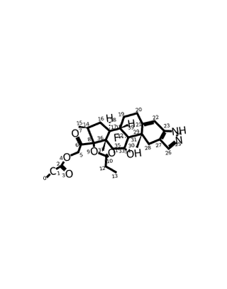 CCC(=O)OCC(=O)C1(OC(=O)CC)[C@@H](C)C[C@H]2[C@@H]3CCC4=Cc5[nH]ncc5C[C@]4(C)[C@@]3(F)[C@@H](O)C[C@@]21C